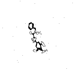 CN(Cc1ccccc1)C(=O)c1nc(-c2cc(Cl)c(O)c(Cl)c2)no1